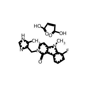 Cc1[nH]cnc1Cn1ccc2c(c1=O)c1cccc(F)c1n2C.O=C(O)/C=C\C(=O)O